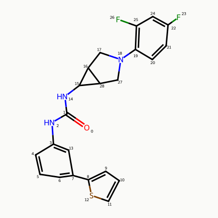 O=C(Nc1cccc(-c2cccs2)c1)NC1C2CN(c3ccc(F)cc3F)CC21